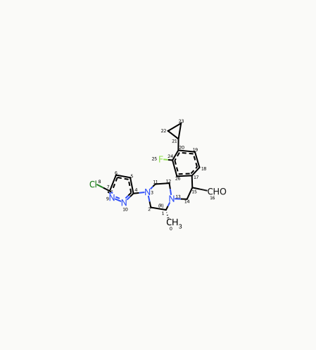 C[C@@H]1CN(c2ccc(Cl)nn2)CCN1CC(C=O)c1ccc(C2CC2)c(F)c1